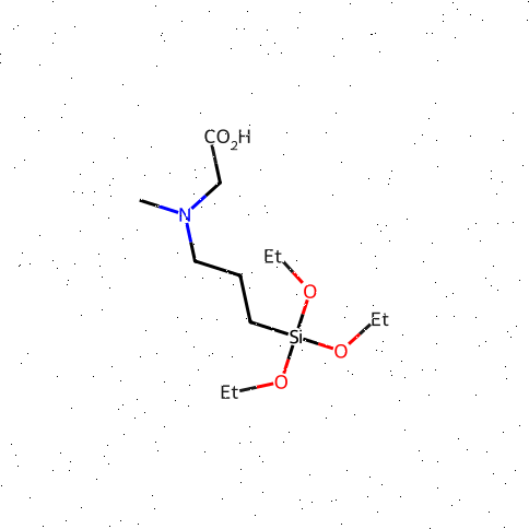 CCO[Si](CCCN(C)CC(=O)O)(OCC)OCC